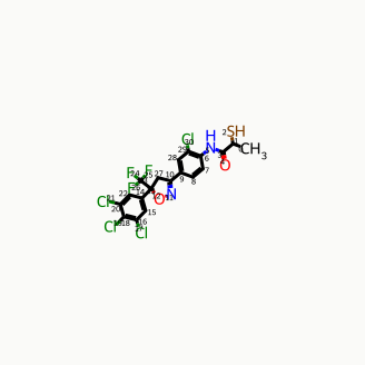 CC(S)C(=O)Nc1ccc(C2=NOC(c3cc(Cl)c(Cl)c(Cl)c3)(C(F)(F)F)C2)cc1Cl